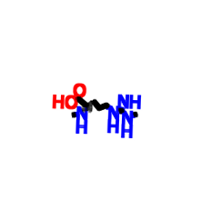 CNC(=N)NCCC[C@H](NC)C(=O)O